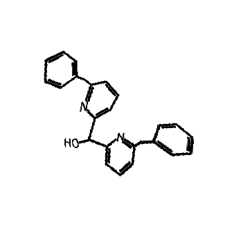 OC(c1cccc(-c2ccccc2)n1)c1cccc(-c2ccccc2)n1